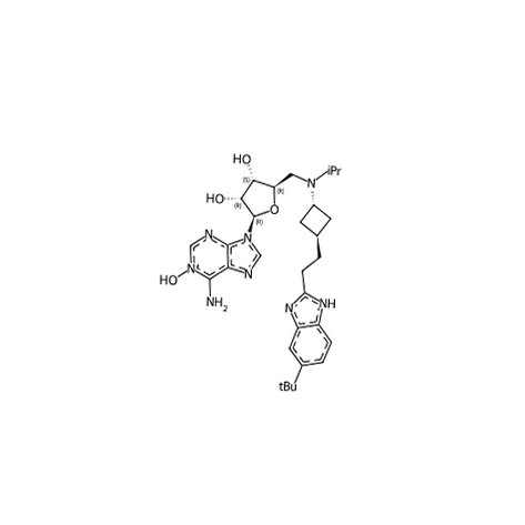 CC(C)N(C[C@H]1O[C@@H](n2cnc3c(N)[n+](O)cnc32)[C@H](O)[C@@H]1O)[C@H]1C[C@H](CCc2nc3cc(C(C)(C)C)ccc3[nH]2)C1